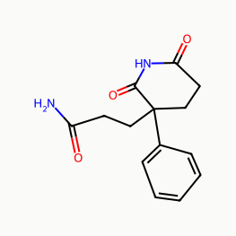 NC(=O)CCC1(c2ccccc2)CCC(=O)NC1=O